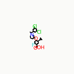 CC(c1cc(Cl)cc(Cl)c1)N1CCC[C@@H](Oc2cc(F)c(C(=O)O)cc2C2CC2)C1